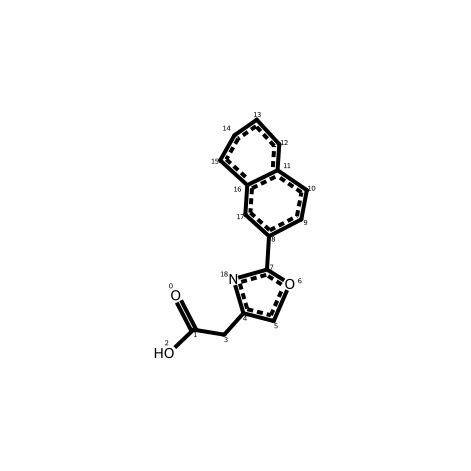 O=C(O)Cc1coc(-c2ccc3ccccc3c2)n1